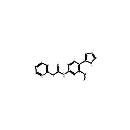 COc1cc(NC(=O)Cc2ccccn2)ccc1-c1cnco1